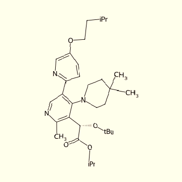 Cc1ncc(-c2ccc(OCCC(C)C)cn2)c(N2CCC(C)(C)CC2)c1[C@H](OC(C)(C)C)C(=O)OC(C)C